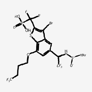 CC(C)(C)[S+]([O-])NC(c1cc(OCCCC(F)(F)F)c2sc(C(F)(F)P(=O)(O)O)c(Br)c2c1)C(F)(F)F